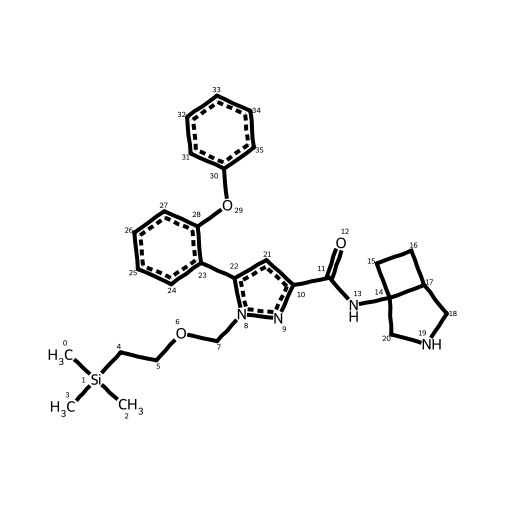 C[Si](C)(C)CCOCn1nc(C(=O)NC23CCC2CNC3)cc1-c1ccccc1Oc1ccccc1